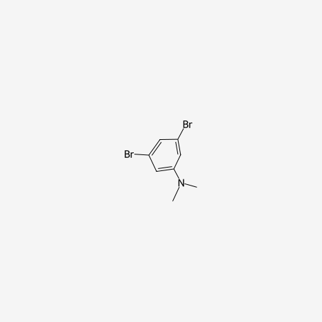 CN(C)c1cc(Br)cc(Br)c1